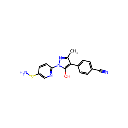 Cc1nn(-c2ccc(SN)cn2)c(O)c1-c1ccc(C#N)cc1